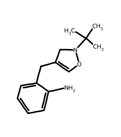 CC(C)(C)N1CC(Cc2ccccc2N)=CO1